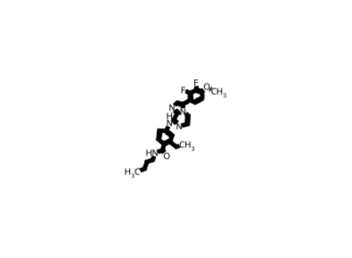 CCCCNC(=O)c1ccc(Nc2nccn3c(-c4ccc(OC)c(F)c4F)cnc23)cc1CC